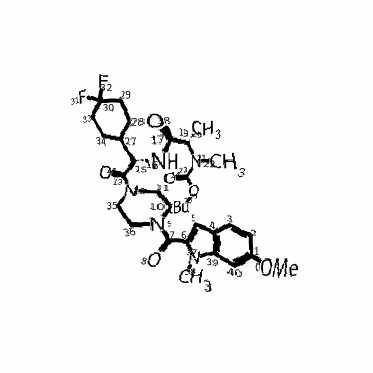 COc1ccc2cc(C(=O)N3CCN(C(=O)[C@@H](NC(=O)[C@H](C)N(C)C(=O)OC(C)(C)C)C4CCC(F)(F)CC4)CC3)n(C)c2c1